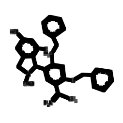 C=C(C)c1cc(C2c3c(C)cc(O)cc3CN2C=O)c(OCc2ccccc2)cc1OCc1ccccc1